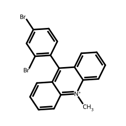 C[n+]1c2ccccc2c(-c2ccc(Br)cc2Br)c2ccccc21